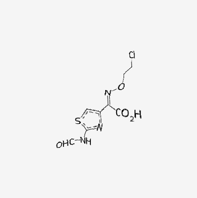 O=CNc1nc(C(=NOCCCl)C(=O)O)cs1